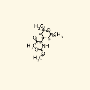 COC(=O)N[C@H](C(C)=O)C1C[C@@H](C)O[C@H](C)C1